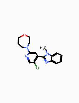 Cn1c(-c2cc(N3C[CH]COCC3)ncc2Cl)nc2ccccc21